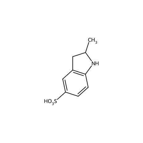 CC1Cc2cc(S(=O)(=O)O)ccc2N1